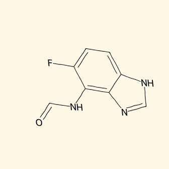 O=CNc1c(F)ccc2[nH]cnc12